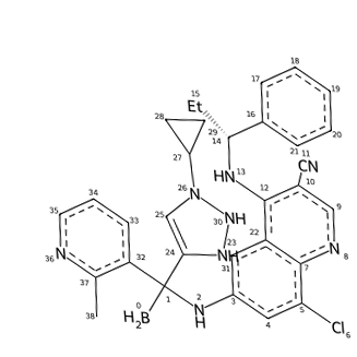 BC(Nc1cc(Cl)c2ncc(C#N)c(N[C@H](CC)c3ccccc3)c2c1)(C1=CN(C2CC2)NN1)c1cccnc1C